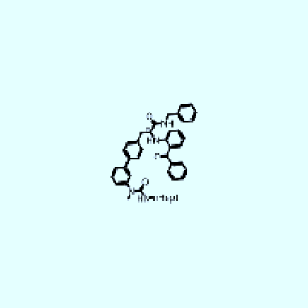 CCCCCCCNC(=O)N(C)c1cccc(-c2ccc(C[C@H](Nc3ccccc3C(=O)c3ccccc3)C(=O)NCc3ccccc3)cc2)c1